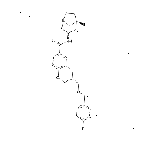 O=C(N[C@@H]1C[C@H]2CCN(C2)C1)c1ccc2c(c1)O[C@H](COCc1ccc(F)cc1)CO2